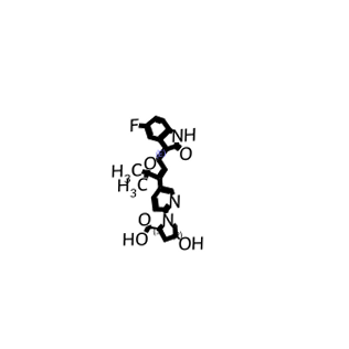 CC1(C)O/C(=C2/C(=O)Nc3ccc(F)cc32)C=C1c1ccc(N2C[C@H](O)C[C@H]2C(=O)O)nc1